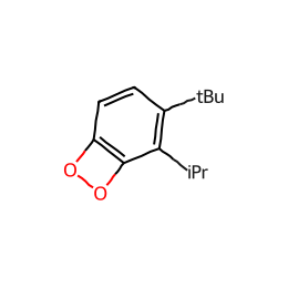 CC(C)c1c(C(C)(C)C)ccc2ooc12